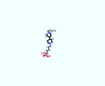 CCCCC[n+]1ccc(-c2cc[n+](CCCCCP(=O)(O)O)cc2)cc1